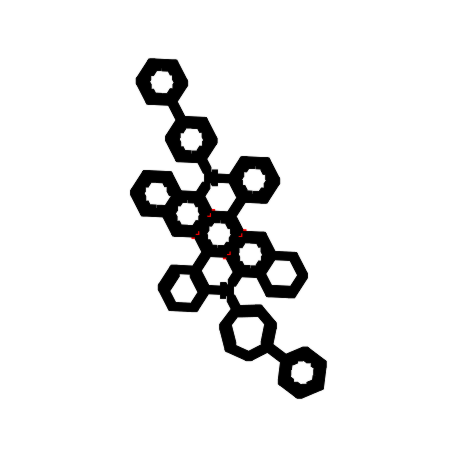 C1=CC(c2ccc(-c3ccccc3N(c3ccc(-c4ccccc4)cc3)c3cccc4ccccc34)cc2)=C(N(C2=CC=C(c3ccccc3)CC=C2)c2cccc3c2C=CCC3)CC1